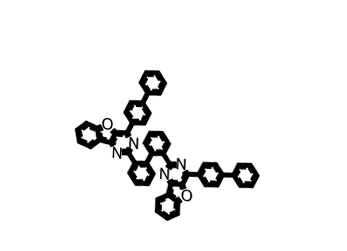 c1ccc(-c2ccc(-c3nc(-c4ccccc4-c4ccccc4-c4nc(-c5ccc(-c6ccccc6)cc5)c5oc6ccccc6c5n4)nc4c3oc3ccccc34)cc2)cc1